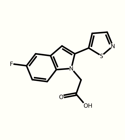 O=C(O)Cn1c(-c2ccns2)cc2cc(F)ccc21